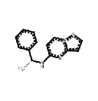 C[C@@H](Nc1ccn2nccc2n1)c1ccccc1